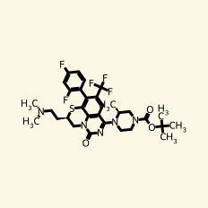 C[C@H]1CN(C(=O)OC(C)(C)C)CCN1c1nc(=O)n2c3c(c(-c4ccc(F)cc4F)c(C(F)(F)F)cc13)S[C@H](CCN(C)C)C2